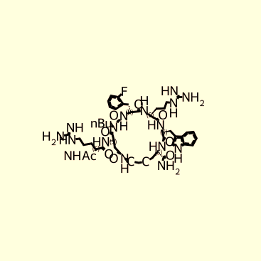 CCCCN1C(=O)N[C@H](Cc2ccccc2F)C(=O)N[C@@H](CCCNC(=N)N)C(=O)N[C@@H](Cc2c[nH]c3ccccc23)C(=O)N[C@H](C(N)=O)CCCCNC(=O)C[C@H](NC(=O)[C@H](CCCNC(=N)N)NC(C)=O)C1=O